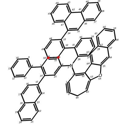 C1#CC(N(c2ccc(-c3ccccc3)c(-c3ccc4ccccc4c3)c2)c2ccccc2C2=C(c3cc4ccccc4c4ccccc34)C=CCC2)=c2c(oc3cc4ccccc4cc23)=CC1